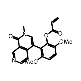 C=CC(=O)Oc1c(OC)ccc(OC)c1-c1cn(C)c(=O)c2cnccc12